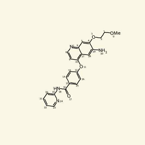 COCCOc1cc2nccc(Oc3ccc(C(=O)Nc4ccccn4)cc3)c2cc1N